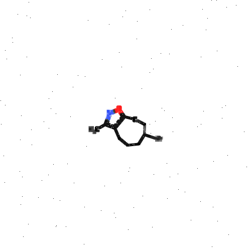 Cc1noc2c1CCCC(C(C)C)CC2